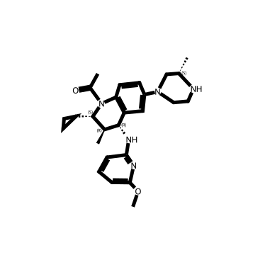 COc1cccc(N[C@H]2c3cc(N4CCN[C@@H](C)C4)ccc3N(C(C)=O)[C@@H](C3CC3)[C@@H]2C)n1